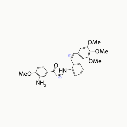 COc1ccc(C(=O)/C=C\Nc2ccccc2/C=C\c2cc(OC)c(OC)c(OC)c2)cc1N